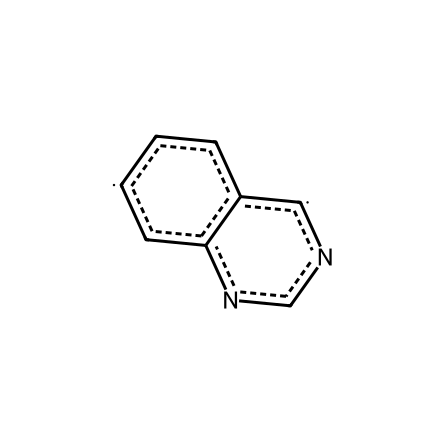 [c]1ccc2[c]ncnc2c1